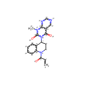 C=CC(=O)N1CCC(n2c(=O)c3cncnc3n(C)c2=O)c2ccccc21